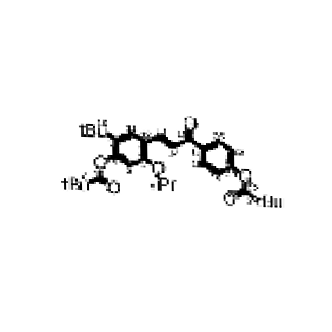 CC(C)Oc1cc(OC(=O)C(C)(C)C)c(C(C)(C)C)cc1/C=C/C(=O)c1ccc(OC(=O)C(C)(C)C)cc1